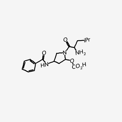 CC(C)CC(N)C(=O)N1CC(NC(=O)c2ccccc2)CC1OC(=O)O